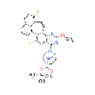 COc1nc(N2CC3CCCC2CN3C(=O)OC(C)(C)C)c2cc(F)c3c(c2n1)C#Cc1c(F)ccc2cccc-3c12